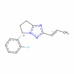 C/C=C/c1nc2n(n1)[C@H](c1ccccc1F)CC2